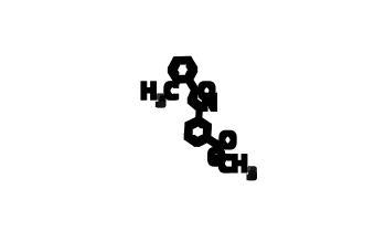 COC(=O)c1cccc(-c2cc(-c3ccccc3C)on2)c1